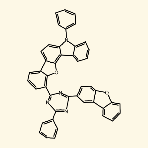 c1ccc(-c2nc(-c3ccc4oc5ccccc5c4c3)nc(-c3cccc4c3oc3c4ccc4c3c3ccccc3n4-c3ccccc3)n2)cc1